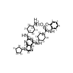 CCOC(=O)c1ccccc1NC(=O)N1CCC(Nc2nc(N[C@H]3CC[C@H](N)CC3)nc3c2ncn3C2CCCC2)CC1